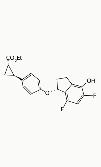 CCOC(=O)[C@H]1C[C@@H]1c1ccc(O[C@@H]2CCc3c(O)c(F)cc(F)c32)cc1